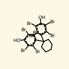 Oc1c(Br)c(Br)c(C2(c3c(Br)c(Br)c(O)c(Br)c3Br)CCCCC2)c(Br)c1Br